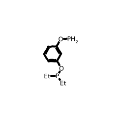 CCP(CC)Oc1cccc(OP)c1